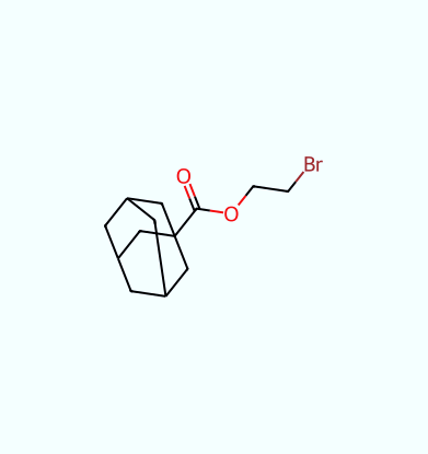 O=C(OCCBr)C12CC3CC(CC(C3)C1)C2